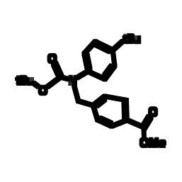 COC(=O)c1ccc(CN(C(=O)OC(C)(C)C)c2ccc(C(C)(C)C)cc2)cc1